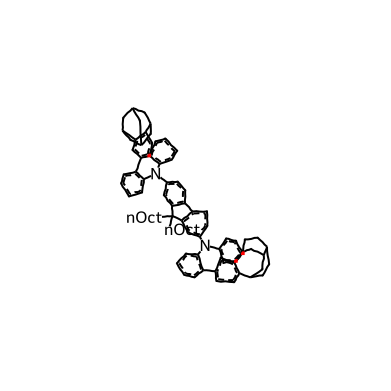 CCCCCCCCC1(CCCCCCCC)c2cc(N(c3ccccc3)c3ccccc3-c3ccc4c(c3)C3CC5CC(CC4C5)C3)ccc2-c2ccc(N(c3ccccc3)c3ccccc3-c3ccc4c(c3)C3CCC5CCC4CC5C3)cc21